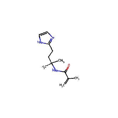 C=C(C)C(=O)NC(C)(C)CCc1ncc[nH]1